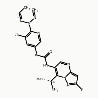 C=NN(/N=C\C)c1ncc(NC(=O)Nc2cnc3cc(F)nn3c2[C@H](C)OC)cc1Cl